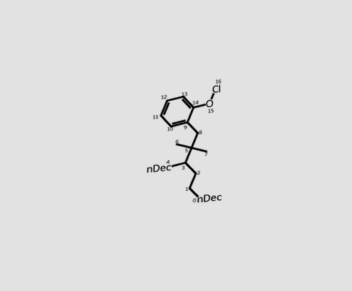 CCCCCCCCCCCCC(CCCCCCCCCC)C(C)(C)Cc1ccccc1OCl